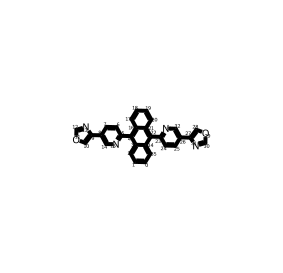 c1ccc2c(-c3ccc(-c4cocn4)cn3)c3ccccc3c(-c3ccc(-c4cocn4)cn3)c2c1